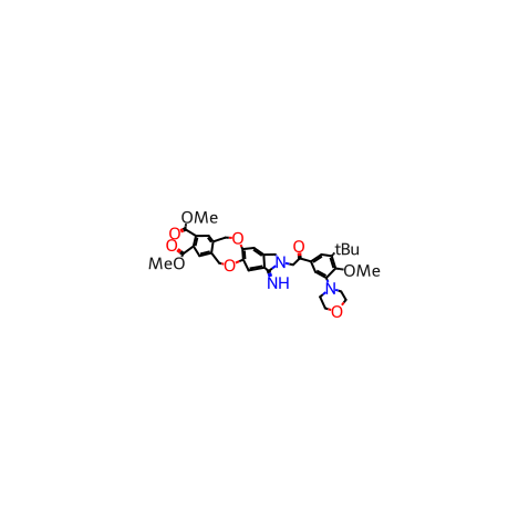 COC(=O)c1cc2c(cc1C(=O)OC)COc1cc3c(cc1OC2)CN(CC(=O)c1cc(N2CCOCC2)c(OC)c(C(C)(C)C)c1)C3=N